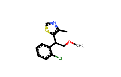 Cc1ncsc1C(COC=O)c1ccccc1Cl